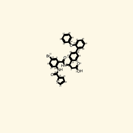 O=C(O)CC(NC(=O)c1cc(Br)ccc1NC(=O)c1cccs1)c1ccc(-c2ccccc2Oc2ccccc2)cc1